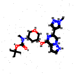 CN(C(=O)OC(C)(C)C)[C@@H]1COC[C@H](Oc2nc(-c3cnn(C)c3)cn3nccc23)C1